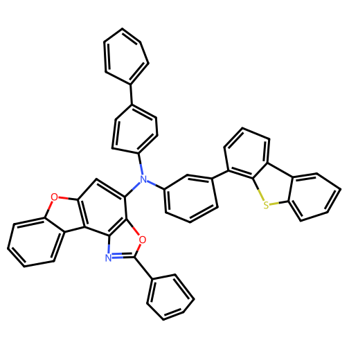 c1ccc(-c2ccc(N(c3cccc(-c4cccc5c4sc4ccccc45)c3)c3cc4oc5ccccc5c4c4nc(-c5ccccc5)oc34)cc2)cc1